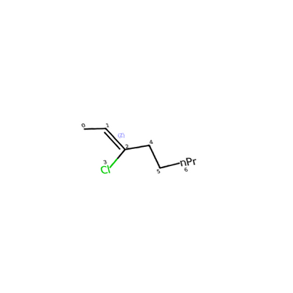 C/C=C(\Cl)CCCCC